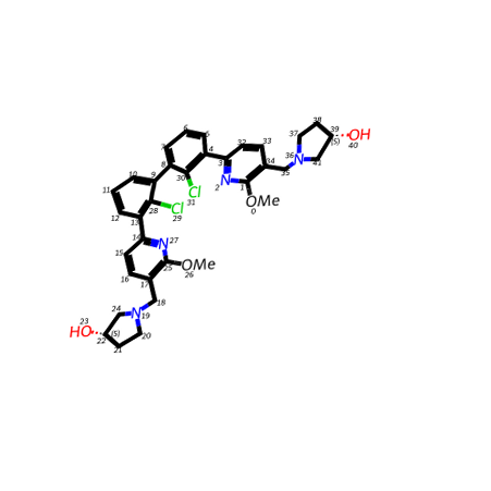 COc1nc(-c2cccc(-c3cccc(-c4ccc(CN5CC[C@H](O)C5)c(OC)n4)c3Cl)c2Cl)ccc1CN1CC[C@H](O)C1